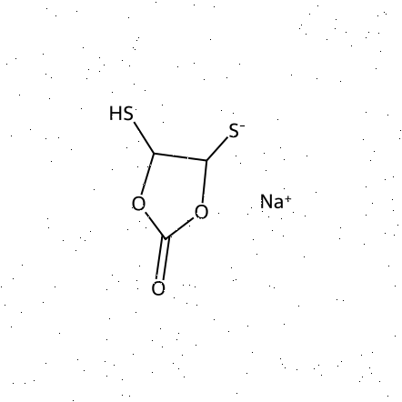 O=C1OC([S-])C(S)O1.[Na+]